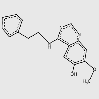 COc1cc2ncnc(NCCc3ccccc3)c2cc1O